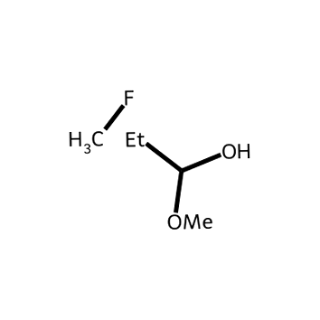 CCC(O)OC.CF